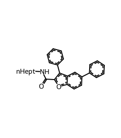 CCCCCCCNC(=O)c1oc2ccc(-c3ccccc3)cc2c1-c1ccccc1